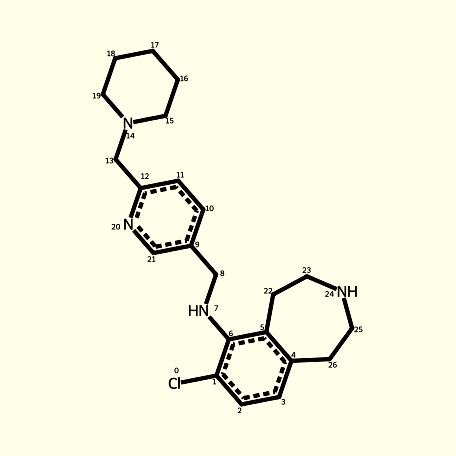 Clc1ccc2c(c1NCc1ccc(CN3CCCCC3)nc1)CCNCC2